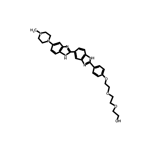 CN1CCN(c2ccc3[nH]c(-c4ccc5[nH]c(-c6ccc(OCCOCCOCCO)cc6)nc5c4)nc3c2)CC1